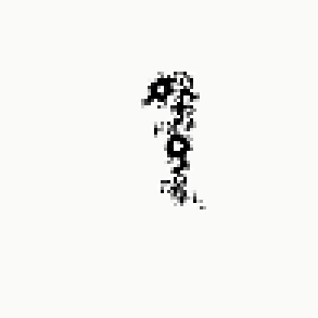 Cc1ccc(C(C)C)c(N2C(=O)CSC2=NC(=O)Nc2ccc(CCOC(N)=O)cc2)c1